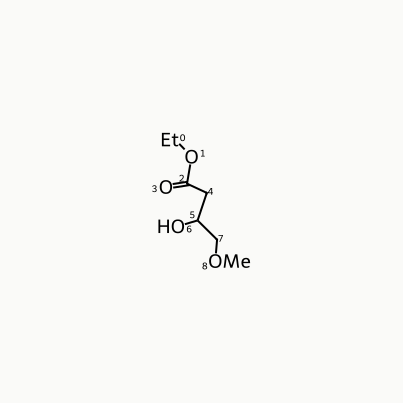 CCOC(=O)CC(O)COC